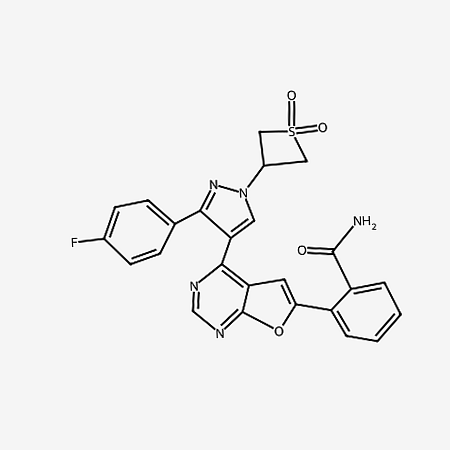 NC(=O)c1ccccc1-c1cc2c(-c3cn(C4CS(=O)(=O)C4)nc3-c3ccc(F)cc3)ncnc2o1